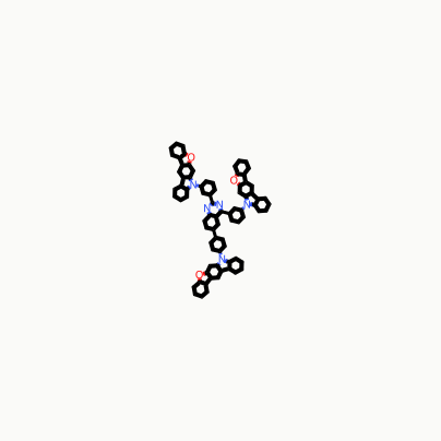 c1cc(-c2nc(-c3cccc(-n4c5ccccc5c5cc6c(cc54)oc4ccccc46)c3)c3cc(-c4ccc(-n5c6ccccc6c6cc7c(cc65)oc5ccccc57)cc4)ccc3n2)cc(-n2c3ccccc3c3cc4c(cc32)oc2ccccc24)c1